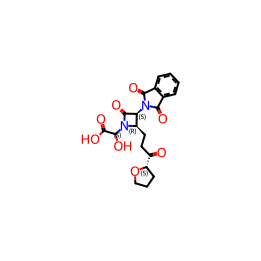 O=C(CC[C@@H]1[C@H](N2C(=O)c3ccccc3C2=O)C(=O)N1[C@@H](O)C(=O)O)[C@@H]1CCCO1